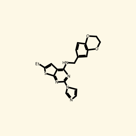 CCc1cc2c(NCc3ccc4c(c3)OCCO4)nc(-n3ccnc3)nc2s1